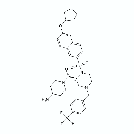 NC1CCN(C(=O)[C@@H]2CN(Cc3ccc(C(F)(F)F)cc3)CCN2S(=O)(=O)c2ccc3cc(OC4CCCC4)ccc3c2)CC1